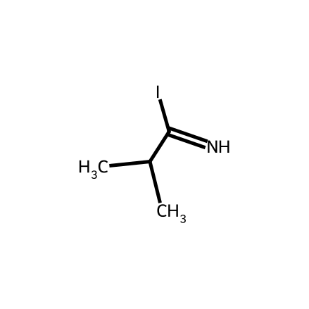 CC(C)C(=N)I